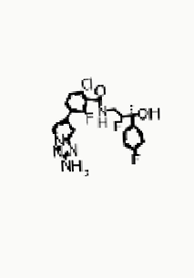 C[C@](O)(c1ccc(F)cc1)[C@H](F)CNC(=O)c1c(Cl)ccc(-c2ccn3nc(N)nc3c2)c1F